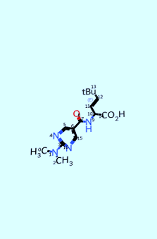 CN(C)c1ncc(C(=O)NC(/C=C/C(C)(C)C)C(=O)O)cn1